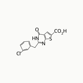 O=C(O)c1cc2c(=O)[nH]c(Cc3cccc(Cl)c3)nc2s1